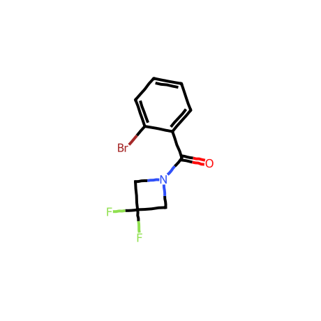 O=C(c1ccccc1Br)N1CC(F)(F)C1